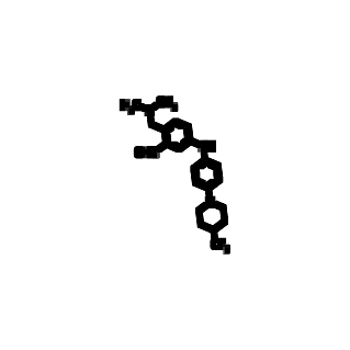 CN(C)Cc1ccc(Nc2ccc(N3CCC(C(F)(F)F)CC3)cc2)cc1C=O